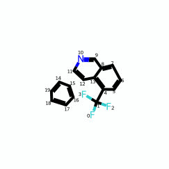 FC(F)(F)c1cccc2cnccc12.c1ccccc1